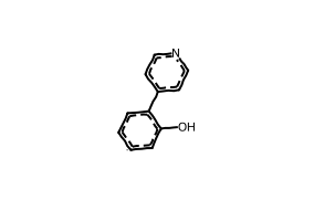 Oc1c[c]ccc1-c1ccncc1